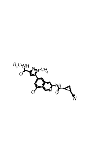 CNC(=O)c1cc(-c2cc(Cl)c3cnc(NC(=O)C4CC4C#N)cc3c2)n(C)n1